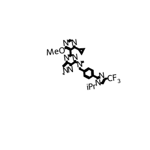 COc1ncnc(C2CC2)c1-c1nc(N(C)Cc2ccc(-c3nc(C(F)(F)F)cn3C(C)C)cc2)c2nn(C)cc2n1